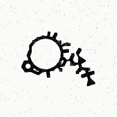 C=C[C@@H]1C[C@]1(NC(=O)[C@@H]1C[C@@H]2CN1C(=O)[C@H](CCCC)NC(=O)N(C)CCCC/C=C/c1cccc3c1CN(C3)C(=O)O2)C(=O)NS(=O)(=O)C1CC1